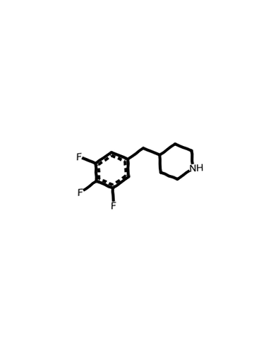 Fc1cc(CC2CCNCC2)cc(F)c1F